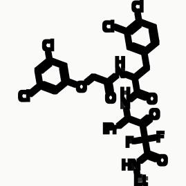 CCNC(=O)C(F)(F)C(=O)C(NC(=O)C(Cc1ccc(Cl)c(Cl)c1)NC(=O)COc1cc(Cl)cc(Cl)c1)C(C)C